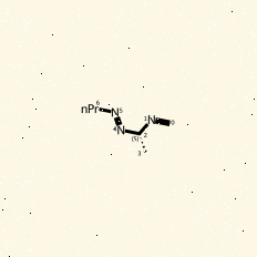 C=N[C@H](C)N=NCCC